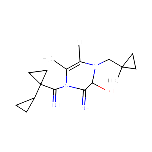 CC1=C(C)N(CC2(C)CC2)C(O)C(=N)N1C(=N)C1(C2CC2)CC1